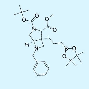 COC(=O)[C@H]1N(C(=O)OC(C)(C)C)C[C@@H]2N(Cc3ccccc3)C[C@@]21CCCB1OC(C)(C)C(C)(C)O1